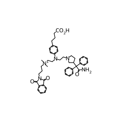 C[N+](C)(CCCN1C(=O)c2ccccc2C1=O)CCN(CCN1CCC(C(C(N)=O)(c2ccccc2)c2ccccc2)C1)c1ccc(CCCC(=O)O)cc1